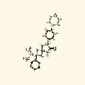 CN(C)C1(c2ccccc2)CC2(CN(c3cnc(N4CCOCC4)nc3)C(=O)N2)C1